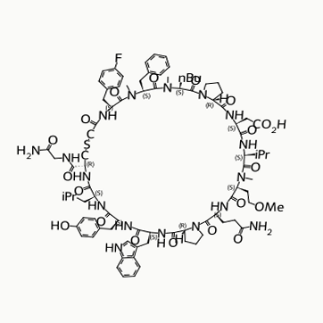 CCCC[C@H]1C(=O)N2CCC[C@@H]2C(=O)N[C@@H](CC(=O)O)C(=O)N[C@@H](C(C)C)C(=O)N(C)[C@@H](CCOC)C(=O)N[C@@H](CCC(N)=O)C(=O)N2CCC[C@@H]2C(=O)N[C@@H](Cc2c[nH]c3ccccc23)C(=O)N[C@@H](Cc2ccc(O)cc2)C(=O)N[C@@H](CC(C)C)C(=O)N[C@H](C(=O)NCC(N)=O)CSCC(=O)N[C@@H](Cc2ccc(F)cc2)C(=O)N(C)[C@@H](Cc2ccccc2)C(=O)N1C